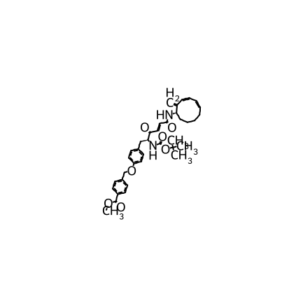 C=C1/C=C\C=C/CCCC[C@H]1NC(=O)/C=C/C(=O)[C@H](Cc1ccc(OCc2ccc(C(=O)OC)cc2)cc1)NC(=O)OC(C)(C)C